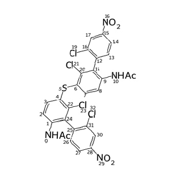 CC(=O)Nc1ccc(Sc2ccc(NC(C)=O)c(-c3ccc([N+](=O)[O-])cc3Cl)c2Cl)c(Cl)c1-c1ccc([N+](=O)[O-])cc1Cl